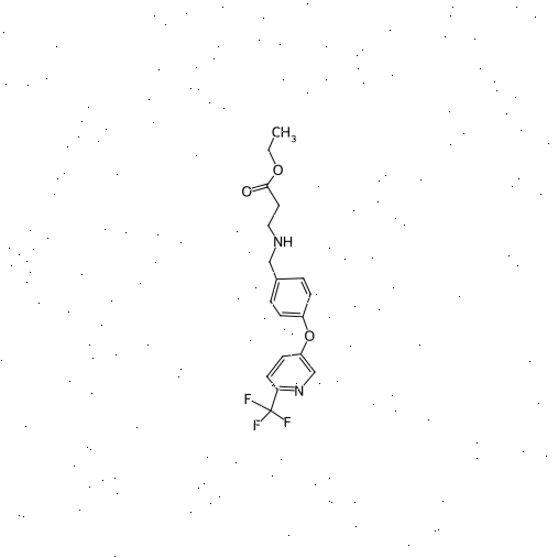 CCOC(=O)CCNCc1ccc(Oc2ccc(C(F)(F)F)nc2)cc1